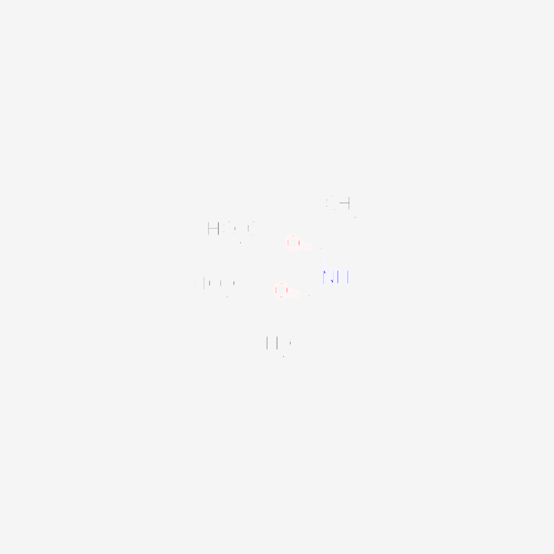 C=CC(=O)NC(=O)C=C.O=C(O)/C=C\C(=O)O